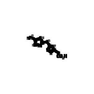 CCCc1nnc(Sc2nc(CC(=O)O)cs2)s1